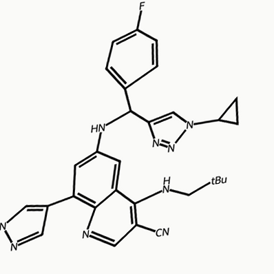 CC(C)(C)CNc1c(C#N)cnc2c(-c3cn[nH]c3)cc(NC(c3ccc(F)cc3)c3cn(C4CC4)nn3)cc12